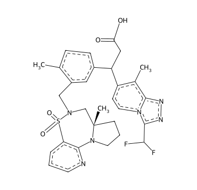 Cc1ccc(C(CC(=O)O)c2ccn3c(C(F)F)nnc3c2C)cc1CN1C[C@]2(C)CCCN2c2ncccc2S1(=O)=O